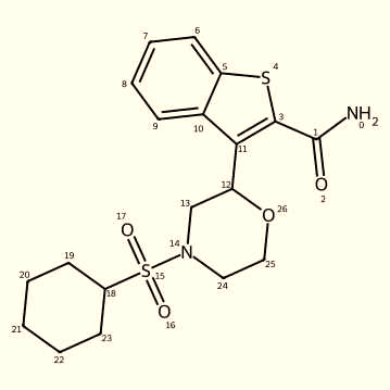 NC(=O)c1sc2ccccc2c1C1CN(S(=O)(=O)C2CCCCC2)CCO1